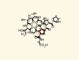 CC(C)C[C@H](NC(=O)[C@@H](NC(=O)[C@@H](NC(=O)[C@@H](NC(=O)[C@@H](NC(=O)[C@@H]1CCCN1C(=O)[C@@H]1CCCN1C(=O)[C@@H]1CCCN1)C(C)C)C(C)C)C(C)C)[C@@H](C)O)C(=O)N1CCC[C@H]1C(=O)NCC(=O)O